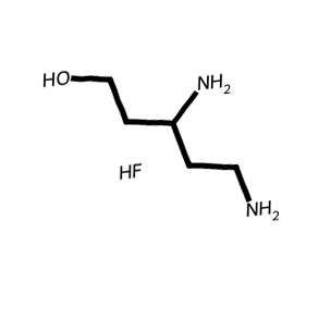 F.NCCC(N)CCO